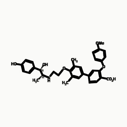 COc1ccc(Oc2cc(-c3cc(C)c(OCCN[C@H](C)[C@@H](O)c4ccc(O)cc4)c(C)c3)ccc2C(=O)O)cc1